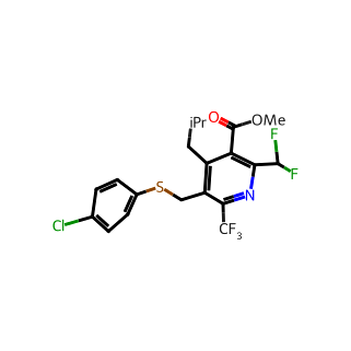 COC(=O)c1c(C(F)F)nc(C(F)(F)F)c(CSc2ccc(Cl)cc2)c1CC(C)C